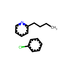 CCCCc1ccccn1.Clc1ccccc1